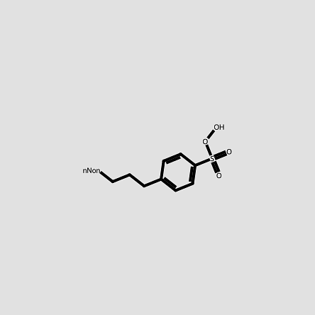 CCCCCCCCCCCCc1ccc(S(=O)(=O)OO)cc1